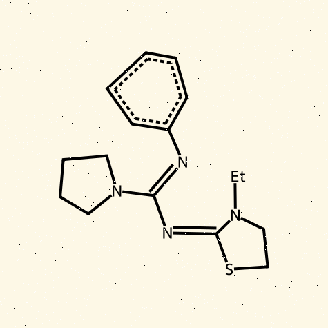 CCN1CCSC1=NC(=Nc1ccccc1)N1CCCC1